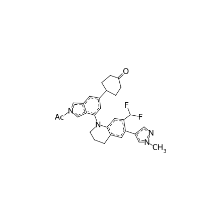 CC(=O)n1cc2cc(C3CCC(=O)CC3)cc(N3CCCc4cc(-c5cnn(C)c5)c(C(F)F)cc43)c2c1